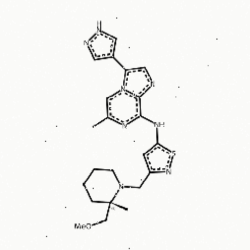 COC[C@]1(C)CCCCN1Cc1cc(Nc2nc(C)cn3c(-c4cn[nH]c4)cnc23)sn1